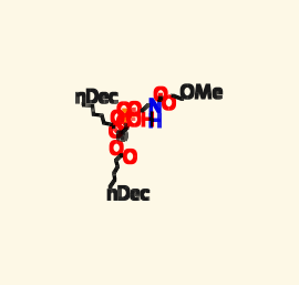 CCCCCCCCCCCCCCCC(=O)OC[C@H](COP(=O)(O)OCCNC(=O)OCCOC)OC(=O)CCCCCCCCCCCCCCC